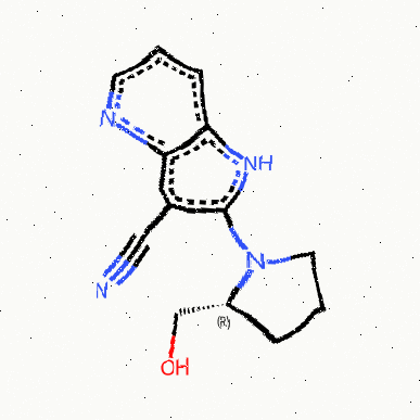 N#Cc1c(N2CCC[C@@H]2CO)[nH]c2cccnc12